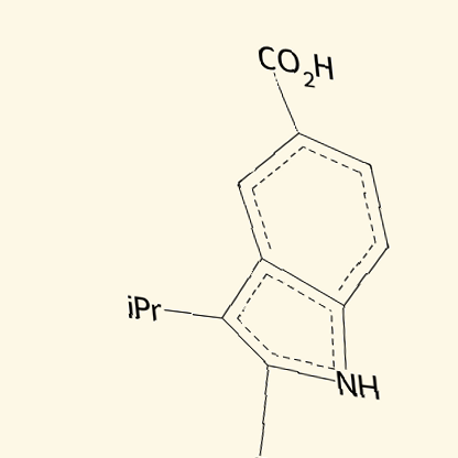 CC(C)c1[nH]c2ccc(C(=O)O)cc2c1C(C)C